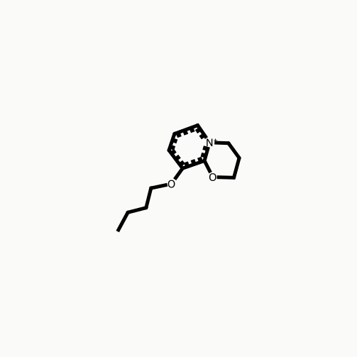 CCCCOc1ccc[n+]2c1OCCC2